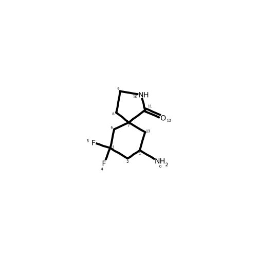 NC1CC(F)(F)CC2(CCNC2=O)C1